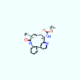 CC(C)[C@H]1/C=C/C[C@H](NC(=O)OC(C)(C)C)c2cc(ccn2)-c2ccccc2NC1=O